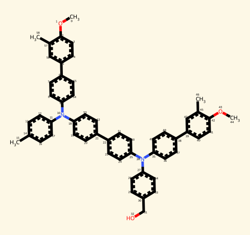 COc1ccc(-c2ccc(N(c3ccc(C)cc3)c3ccc(-c4ccc(N(c5ccc(CO)cc5)c5ccc(-c6ccc(OC)c(C)c6)cc5)cc4)cc3)cc2)cc1C